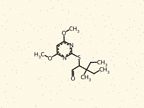 CCC(C)(CC)C(C=O)Sc1nc(OC)cc(OC)n1